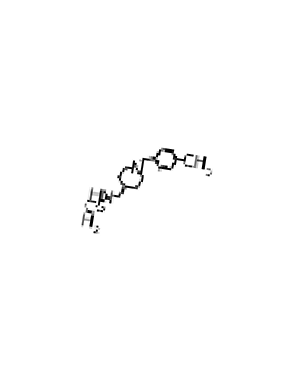 CSNCC1CCN(Cc2ccc(C)cc2)CC1